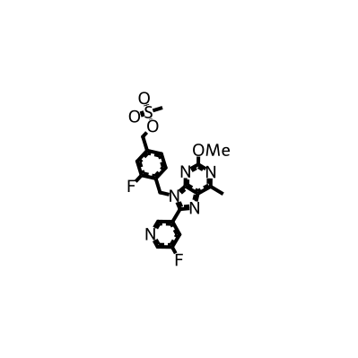 COc1nc(C)c2nc(-c3cncc(F)c3)n(Cc3ccc(COS(C)(=O)=O)cc3F)c2n1